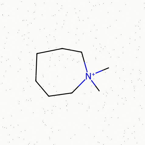 C[N+]1(C)CCCCCC1